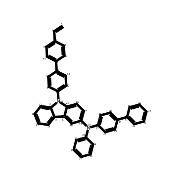 C=Cc1ccc(-c2ccc(-n3c4ccccc4c4cc(N(c5ccccc5)c5ccc(-c6ccccc6)cc5)ccc43)cc2)cc1